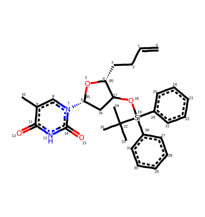 C=CCC[C@H]1O[C@@H](n2cc(C)c(=O)[nH]c2=O)CC1O[Si](c1ccccc1)(c1ccccc1)C(C)(C)C